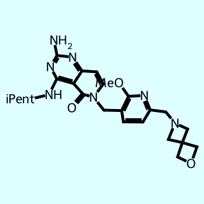 CCCC(C)Nc1nc(N)nc2ccn(Cc3ccc(CN4CC5(COC5)C4)nc3OC)c(=O)c12